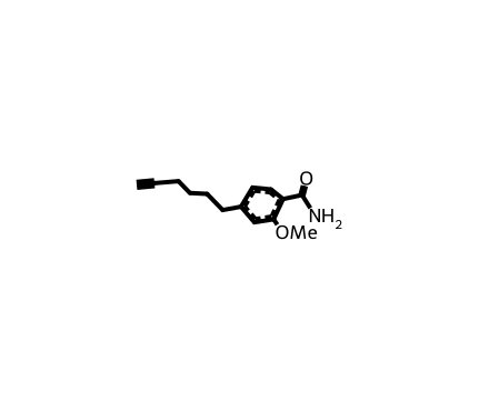 C#CCCCCc1ccc(C(N)=O)c(OC)c1